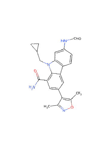 Cc1noc(C)c1-c1cc(C(N)=O)c2c(c1)c1ccc(NC=O)cc1n2CC1CC1